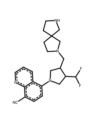 N#Cc1ccc(N2CC(CN3CCC4(CCNC4)C3)C(C(F)F)C2)c2cccnc12